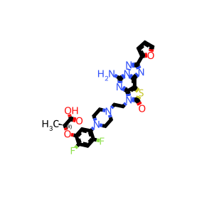 C[C@@H](Oc1cc(N2CCN(CCn3c(=O)sc4c3nc(N)n3nc(-c5ccco5)nc43)CC2)c(F)cc1F)C(=O)O